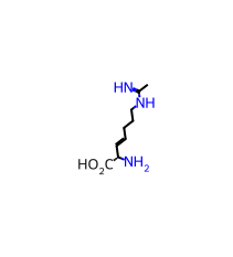 CC(=N)NCCC/C=C/[C@@H](N)C(=O)O